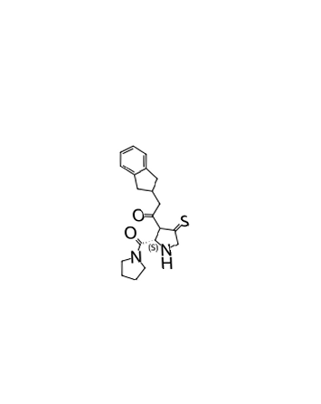 O=C(CC1Cc2ccccc2C1)C1C(=S)CN[C@@H]1C(=O)N1CCCC1